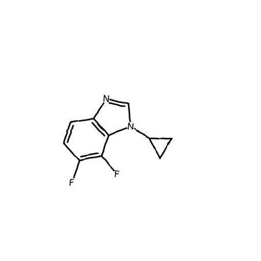 Fc1ccc2ncn(C3CC3)c2c1F